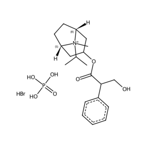 Br.CC(C)[N+]1(C)[C@@H]2CC[C@H]1CC(OC(=O)C(CO)c1ccccc1)C2.O=P(O)(O)O